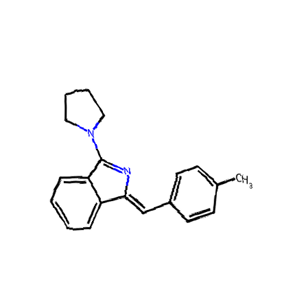 Cc1ccc(/C=C2\N=C(N3CCCC3)c3ccccc32)cc1